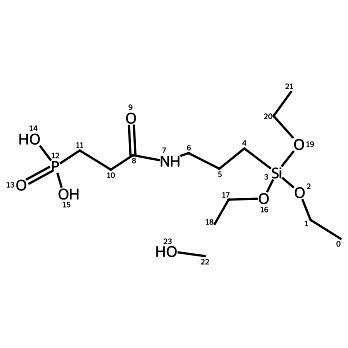 CCO[Si](CCCNC(=O)CCP(=O)(O)O)(OCC)OCC.CO